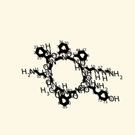 C[C@@H](O)[C@@H]1NC(=O)[C@H](CCCCN)NC(=O)[C@@H](Cc2c[nH]c3ccccc23)NC(=O)[C@H](Cc2ccccc2)NC(=O)[C@H](Cc2ccccc2)NC(=O)[C@H](CCCNCNCN)NC(=O)[C@H](NC(=O)[C@@H](N)Cc2ccc(O)cc2)CCNC(=O)C(Cc2ccccc2)NC1=O